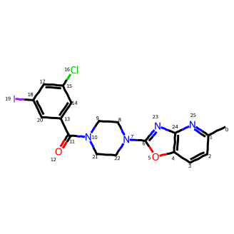 Cc1ccc2oc(N3CCN(C(=O)c4cc(Cl)cc(I)c4)CC3)nc2n1